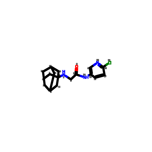 O=C(CNC12CC3CC(CC(C3)C1)C2)Nc1ccc(Cl)nc1